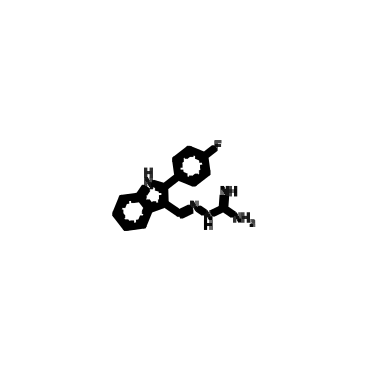 N=C(N)NN=Cc1c(-c2ccc(F)cc2)[nH]c2ccccc12